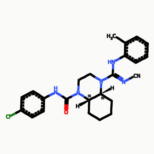 Cc1ccccc1NC(=NC#N)N1CCN(C(=O)Nc2ccc(Cl)cc2)[C@H]2CCCC[C@@H]21